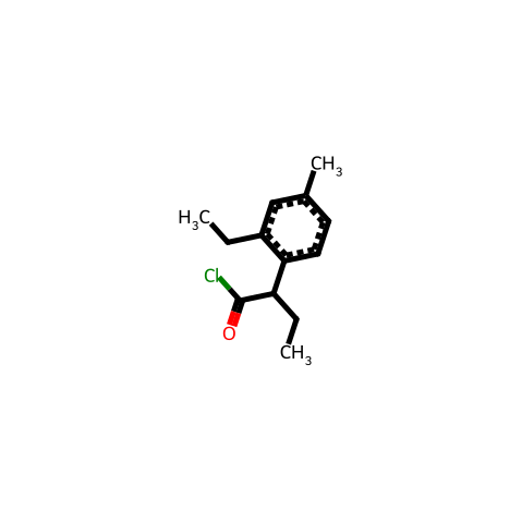 CCc1cc(C)ccc1C(CC)C(=O)Cl